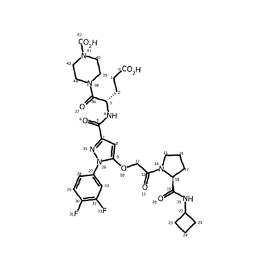 O=C(O)CC[C@H](NC(=O)c1cc(OCC(=O)N2CCC[C@H]2C(=O)NC2CCC2)n(-c2ccc(F)c(F)c2)n1)C(=O)N1CCN(C(=O)O)CC1